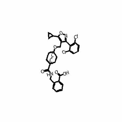 O=C(O)c1ccccc1CNC(=O)C12CCC(OCc3c(-c4c(Cl)cccc4Cl)noc3C3CC3)(CC1)CC2